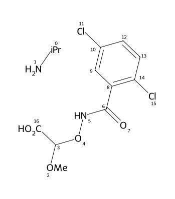 CC(C)N.COC(ONC(=O)c1cc(Cl)ccc1Cl)C(=O)O